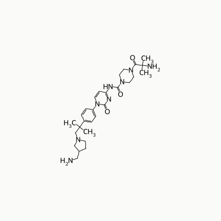 CC(C)(N)C(=O)N1CCN(C(=O)Nc2ccn(-c3ccc(C(C)(C)CN4CCC(CN)C4)cc3)c(=O)n2)CC1